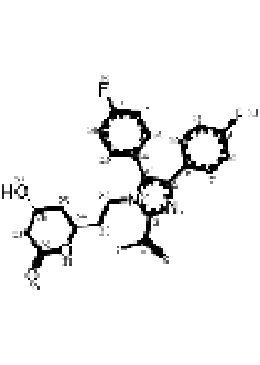 C=C(C)c1nc(-c2ccc(F)cc2)c(-c2ccc(F)cc2)n1CC[C@@H]1C[C@@H](O)CC(=O)O1